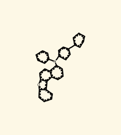 c1ccc(-c2ccc(N(c3ccccc3)c3cccc4c3ccc3oc5ccccc5c34)cc2)cc1